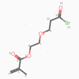 C=C(C)C(=O)OCCOCCC(=O)Br